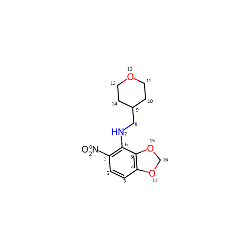 O=[N+]([O-])c1ccc2c(c1NCC1CCOCC1)OCO2